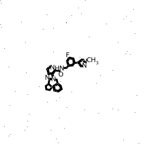 Cn1cc(-c2cc(F)cc(CNC(=O)c3nccc4nc(C5CCCC5)n(Cc5ccccc5)c34)c2)cn1